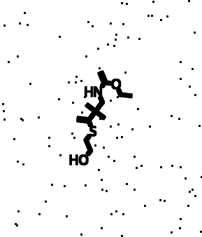 C=C(NCC(C)(C)C(=C)SCCO)OCC